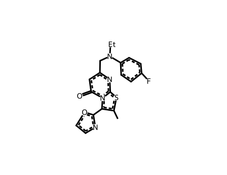 CCN(Cc1cc(=O)n2c(-c3ncco3)c(C)sc2n1)c1ccc(F)cc1